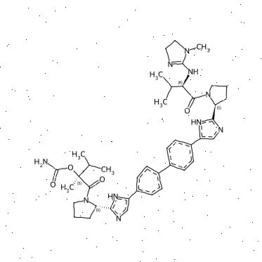 CC(C)[C@@H](NC1=NCCN1C)C(=O)N1CCC[C@H]1c1ncc(-c2ccc(-c3ccc(-c4cnc([C@@H]5CCCN5C(=O)[C@@](C)(OC(N)=O)C(C)C)[nH]4)cc3)cc2)[nH]1